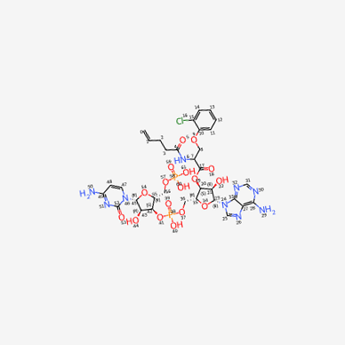 C=CCCC(=O)NC(COc1ccccc1Cl)C(=O)O[C@H]1[C@@H](O)[C@H](n2cnc3c(N)ncnc32)O[C@@H]1COP(=O)(O)O[C@H]1[C@@H](O)[C@H](n2ccc(N)nc2=O)O[C@@H]1COP(=O)(O)O